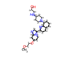 COCCOc1ccn2c(-c3ccc4cccc(N5CCC(NCCO)CC5)c4n3)cnc2c1